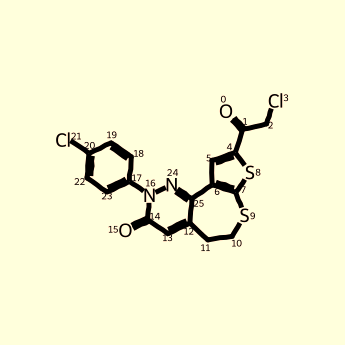 O=C(CCl)c1cc2c(s1)SCCc1cc(=O)n(-c3ccc(Cl)cc3)nc1-2